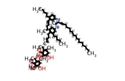 CCCCCCCCCCCCCCCCC#CC(=Nc1ccc(CCCCC)c(CCCCC)c1)C(C)=Nc1ccc(CCCCC)c(CCCCC)c1.CCc1c(C)cc(O)c(O)c1C(=O)[O-].CCc1c(C)cc(O)c(O)c1C(=O)[O-].[Ni+2]